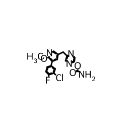 COc1ncc(Cc2cnc(OC(N)=O)cn2)cc1-c1ccc(F)c(Cl)c1